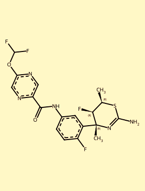 C[C@H]1SC(N)=N[C@](C)(c2cc(NC(=O)c3cnc(OC(F)F)cn3)ccc2F)[C@H]1F